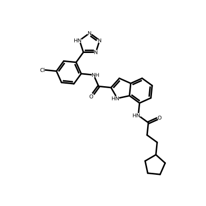 O=C(CCC1CCCC1)Nc1cccc2cc(C(=O)Nc3ccc(Cl)cc3-c3nnn[nH]3)[nH]c12